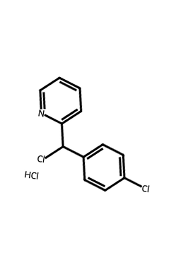 Cl.Clc1ccc(C(Cl)c2ccccn2)cc1